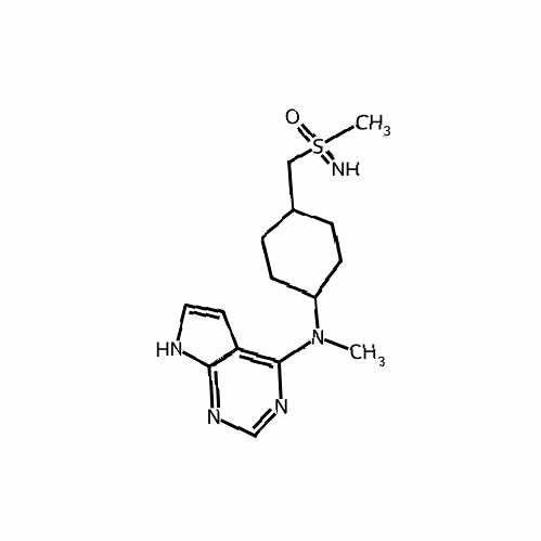 CN(c1ncnc2[nH]ccc12)C1CCC(CS(C)(=N)=O)CC1